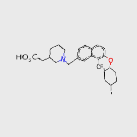 CC1CCC(Oc2ccc3ccc(CN4CCCC(CC(=O)O)C4)cc3c2C(F)(F)F)CC1